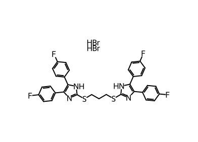 Br.Br.Fc1ccc(-c2nc(SCCCSc3nc(-c4ccc(F)cc4)c(-c4ccc(F)cc4)[nH]3)[nH]c2-c2ccc(F)cc2)cc1